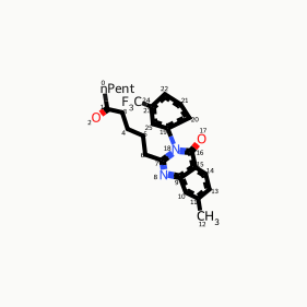 CCCCCC(=O)CCCCc1nc2cc(C)ccc2c(=O)n1-c1cccc(C(F)(F)F)c1